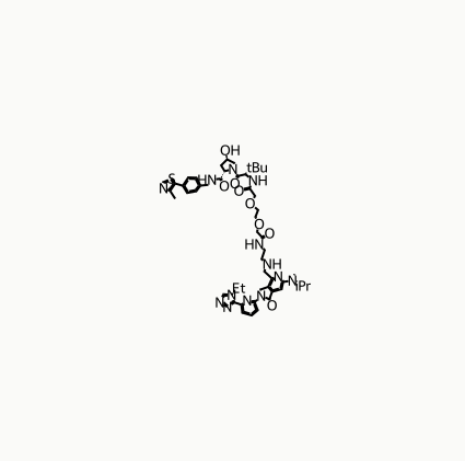 CCn1cnnc1-c1cccc(N2Cc3c(cc(N(C)C(C)C)nc3CNCCNC(=O)COCCOCC(=O)N[C@H](C(=O)N3C[C@H](O)C[C@H]3C(=O)NCc3ccc(-c4scnc4C)cc3)C(C)(C)C)C2=O)n1